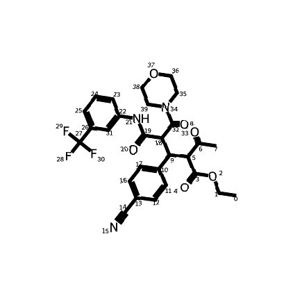 CCOC(=O)C(C(C)=O)C(c1ccc(C#N)cc1)C(C(=O)Nc1cccc(C(F)(F)F)c1)C(=O)N1CCOCC1